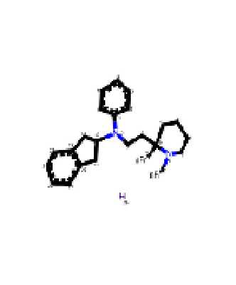 CCCN1CCCCC1(CCC)CCN(c1ccccc1)C1Cc2ccccc2C1.I